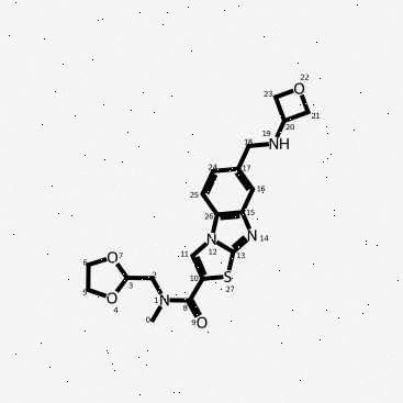 CN(CC1OCCO1)C(=O)c1cn2c(nc3cc(CNC4COC4)ccc32)s1